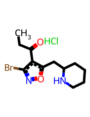 CCC(=O)c1c(Br)noc1CC1CCCCN1.Cl